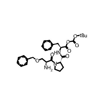 CC(C)(C)OC(=O)OC(=O)[C@H](Cc1ccccc1)NC(=O)[C@@H]1CCCN1C(=O)[C@@H](N)COCc1ccccc1